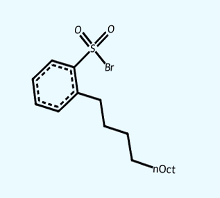 CCCCCCCCCCCCc1ccccc1S(=O)(=O)Br